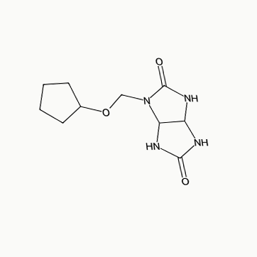 O=C1NC2NC(=O)N(COC3CCCC3)C2N1